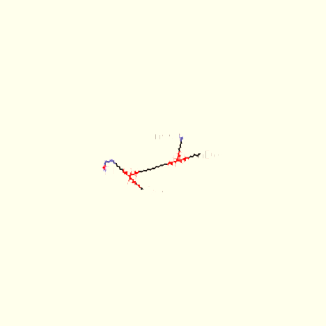 CC/C=C\C/C=C\C/C=C\CCCCCCCC(=O)OC(COC(=O)CCCCCCCC=CCCCCCCCC(=O)OCC(COC(=O)CCCCCCCCCCCCCCCCC)OC(=O)CCCCCCC/C=C\CCCCCCCC)COC(=O)CCCCCCCCCCCCCCC